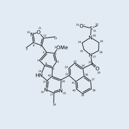 COc1cc2c(cc1-c1c(C)noc1C)[nH]c1nc(C)nc(-c3ccc(C(=O)N4CCN([S+](C)[O-])CC4)c4ccccc34)c12